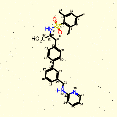 Cc1cc(C)c(S(=O)(=O)N[C@@H](Cc2ccc(-c3cccc(CNc4ccccn4)c3)cc2)C(=O)O)c(C)c1